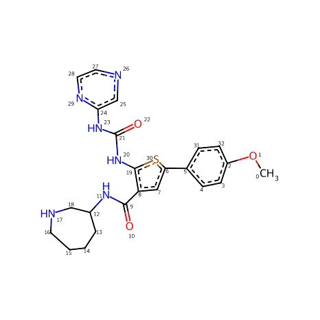 COc1ccc(-c2cc(C(=O)NC3CCCCNC3)c(NC(=O)Nc3cnccn3)s2)cc1